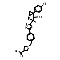 O=C(O)C1CN(Cc2ccc(-c3noc(C(F)(F)C(O)C4(c5ccc(Cl)cc5)CC4)n3)cc2)C1